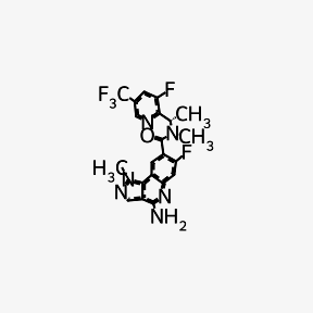 C[C@@H](c1ncc(C(F)(F)F)cc1F)N(C)C(=O)c1cc2c(cc1F)nc(N)c1cnn(C)c12